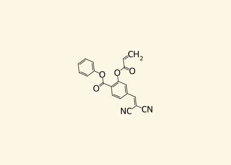 C=CC(=O)Oc1cc(C=C(C#N)C#N)ccc1C(=O)Oc1ccccc1